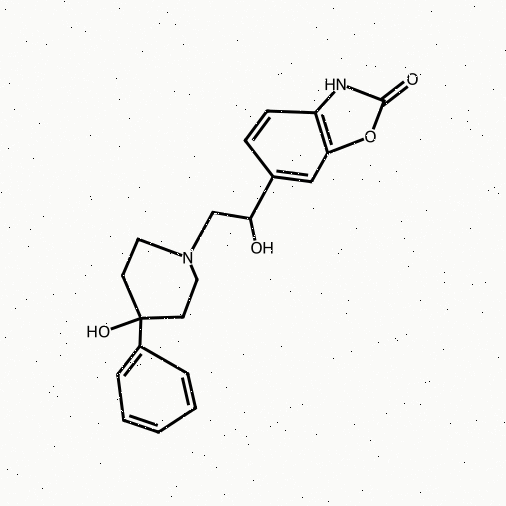 O=c1[nH]c2ccc(C(O)CN3CCC(O)(c4ccccc4)CC3)cc2o1